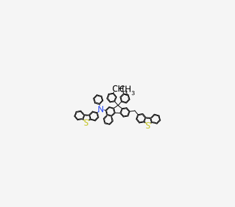 Cc1cccc(C2(c3cccc(C)c3)c3cc(Cc4ccc5sc6ccccc6c5c4)ccc3-c3c2cc(N(c2ccccc2)c2ccc4sc5ccccc5c4c2)c2ccccc32)c1